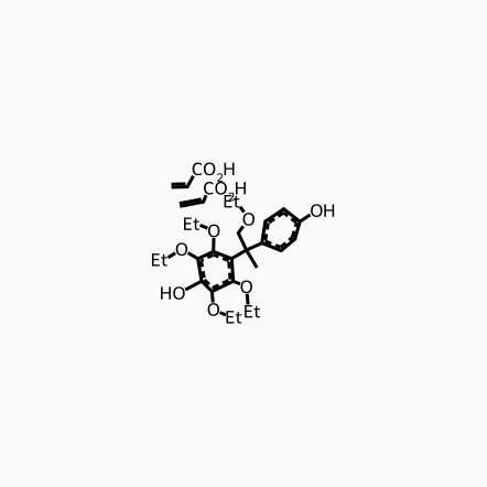 C=CC(=O)O.C=CC(=O)O.CCOCC(C)(c1ccc(O)cc1)c1c(OCC)c(OCC)c(O)c(OCC)c1OCC